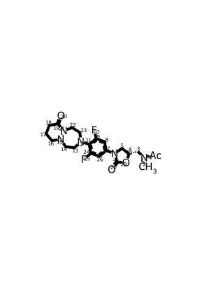 CC(=O)N(C)C[C@H]1CN(c2cc(F)c(N3CCN4CCCC(=O)N4CC3)c(F)c2)C(=O)O1